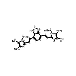 CCCCCCn1c(/C=C/C2=CC=C(/C=C/c3nc(C#N)c(C#N)n3CCCCCC)C3NSN=C23)nc(C#N)c1C#N